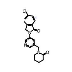 C=C(Cl)/C=C\C1=C(C)CN(c2cncc(CN3CCCCC3=O)c2)C1=O